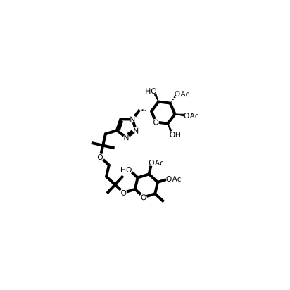 CC(=O)OC1C(C)OC(OC(C)(C)CCOC(C)(C)Cc2cn(C[C@H]3O[C@H](O)[C@H](OC(C)=O)[C@@H](OC(C)=O)[C@@H]3O)nn2)C(O)C1OC(C)=O